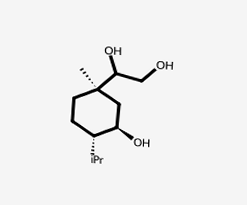 CC(C)[C@@H]1CC[C@@](C)(C(O)CO)C[C@H]1O